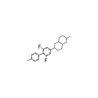 Cc1ccc(-c2c(F)cc(C3CCC4CC(C)CCC4C3)cc2F)cc1